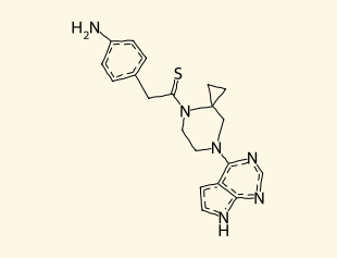 Nc1ccc(CC(=S)N2CCN(c3ncnc4[nH]ccc34)CC23CC3)cc1